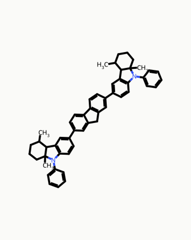 CC1CCCC2(C)C1c1cc(-c3ccc4c(c3)Cc3cc(-c5ccc6c(c5)C5C(C)CCCC5(C)N6c5ccccc5)ccc3-4)ccc1N2c1ccccc1